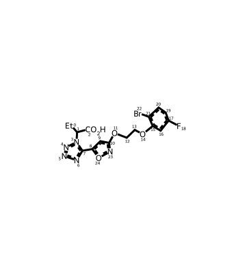 CCC(C(=O)O)n1nnnc1-c1cc(OCCOc2cc(F)ccc2Br)no1